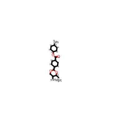 CCCCCCCC1COC(C2CCC(C(=O)OC3CCC(CCC)CC3)CC2)OC1C